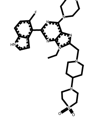 CCn1c(CN2CCC(N3CCS(=O)(=O)CC3)CC2)nc2c(N3CCOCC3)nc(-c3c(F)ccc4[nH]ccc34)nc21